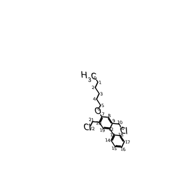 CCCCCCOc1cc(CCl)c(-c2ccccc2)cc1CCl